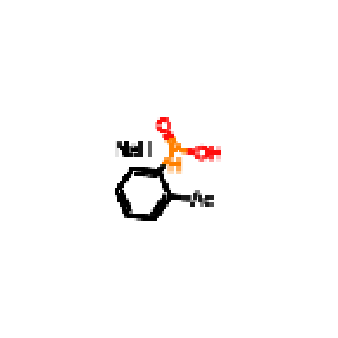 CC(=O)c1ccccc1[PH](=O)O.[NaH]